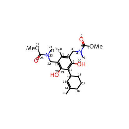 CCCc1c(CN(C)C(=O)OC)c(O)c(C2C=C(C)CCC2)c(O)c1CN(C)C(=O)OC